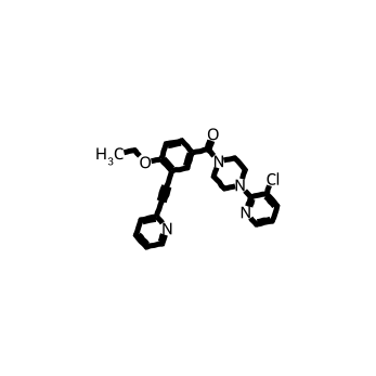 CCOc1ccc(C(=O)N2CCN(c3ncccc3Cl)CC2)cc1C#Cc1ccccn1